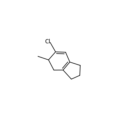 CC1CC2=C(C=C1Cl)CCC2